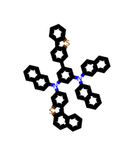 c1ccc2cc(N(c3cc(-c4ccc5c(c4)sc4ccccc45)cc(N(c4ccc5ccccc5c4)c4ccc5c(c4)sc4ccc6ccccc6c45)c3)c3ccc4ccccc4c3)ccc2c1